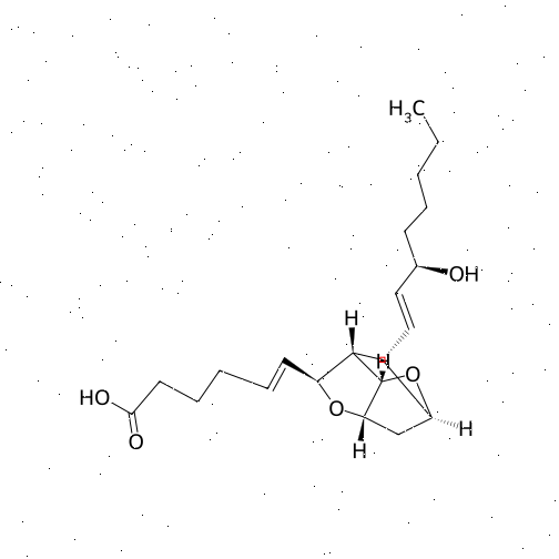 CCCCC[C@@H](O)/C=C/[C@H]1[C@@H]2[C@@H]3O[C@H]1C[C@@H]3O[C@H]2/C=C/CCCC(=O)O